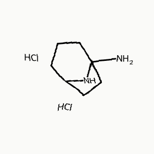 Cl.Cl.NC12CCCC(CC1)N2